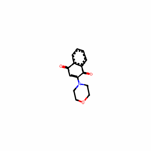 O=C1C=C(N2CCOCC2)C(=O)c2ccccc21